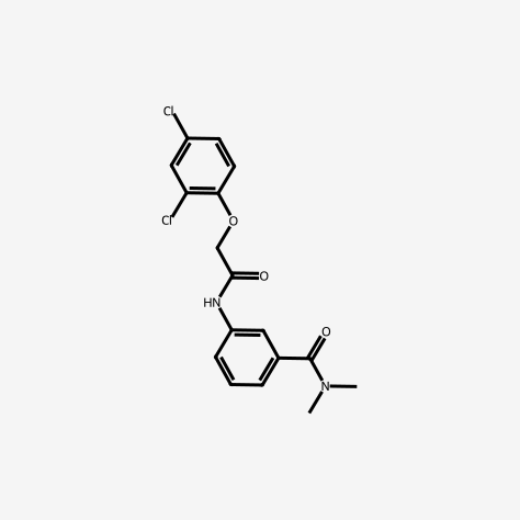 CN(C)C(=O)c1cccc(NC(=O)COc2ccc(Cl)cc2Cl)c1